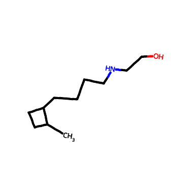 CC1CCC1CCCCNCCO